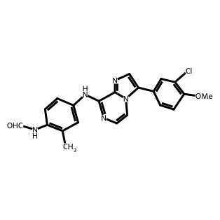 COc1ccc(-c2cnc3c(Nc4ccc(NC=O)c(C)c4)nccn23)cc1Cl